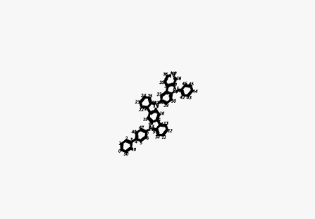 c1ccc(-c2ccc(-n3c4ccccc4c4cc5c(cc43)c3ccccc3n5-c3ccc4c(c3)c3ccncc3n4-c3ccccc3)cc2)cc1